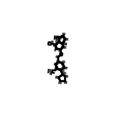 FC(F)(F)c1cc(COc2cc(Cl)c3[nH]ccc3c2)ccc1C1CCCC1